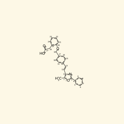 Cc1oc(-c2ccccc2)nc1C=Cc1ccc(COc2ccccc2CC(=O)O)cc1